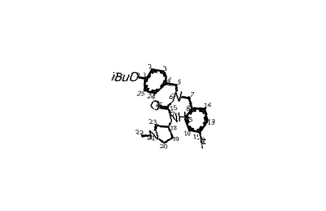 CC(C)COc1ccc(CN(Cc2ccc(F)cc2)C(=O)N[C@H]2CCN(C)C2)cc1